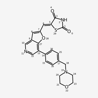 O=C1NC(=O)C(=Cc2cc3cncc(-c4ccc(CN5CCOCC5)cc4)c3o2)S1